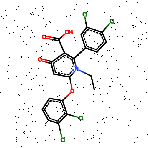 CCn1c(Oc2cccc(Cl)c2Cl)cc(=O)c(C(=O)O)c1-c1ccc(Cl)c(Cl)c1